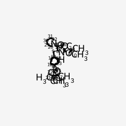 CC(C)(C)OC(=O)N[C@@H](Cc1ccc(B2OC(C)(C)C(C)(C)O2)cc1)C(=O)N1CCCCC1